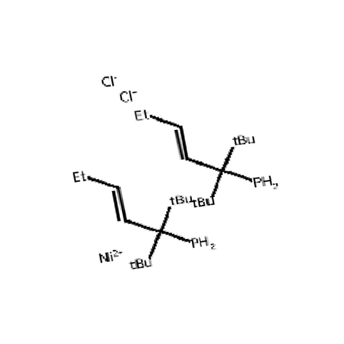 CCC=CC(P)(C(C)(C)C)C(C)(C)C.CCC=CC(P)(C(C)(C)C)C(C)(C)C.[Cl-].[Cl-].[Ni+2]